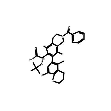 Cc1c(-c2c(C)c3c(c(C)c2[C@@H](OC(C)(C)C)C(=O)O)CCN(C(=O)c2ccccc2)C3)cc(F)c2c1CCCO2